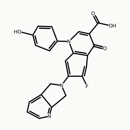 O=C(O)c1cn(-c2ccc(O)cc2)c2cc(N3Cc4cccnc4C3)c(F)cc2c1=O